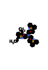 C=C/C=C\C=C(/C)P(C/C=C\C=C/C)(=Nc1ccc(N(c2ccc(N=P(c3ccccc3)(c3ccccc3)c3ccccc3)cc2)c2ccc(N=P(c3ccccc3)(c3ccccc3)c3ccccc3)cc2)cc1)c1ccccc1